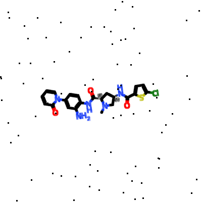 CN1C[C@@H](NC(=O)c2ccc(Cl)s2)C[C@H]1C(=O)Nc1ccc(-n2ccccc2=O)cc1N